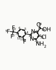 Nc1nc(-c2ccc(C(F)(F)F)cc2F)nc(C(=O)O)c1Cl